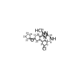 Cl.Clc1ccc2c(c1)CNCc1nnc(C3CCC(OC4CCCC4)CC3)n1-2